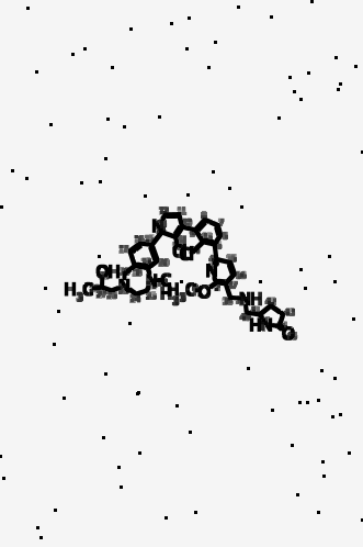 COc1nc(-c2cccc(-c3ccnc(-c4ccc5c(c4)N(C)CCN(CC(C)O)C5)c3Cl)c2Cl)ccc1CNCC1CCC(=O)N1